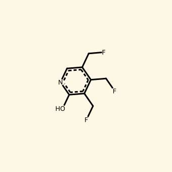 Oc1ncc(CF)c(CF)c1CF